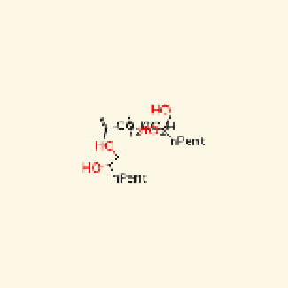 C=C(C)C(=O)O.C=C(C)C(=O)O.CCCCCC(O)CO.CCCCCC(O)CO